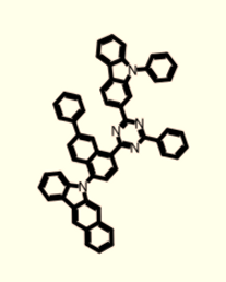 c1ccc(-c2ccc3c(-n4c5ccccc5c5cc6ccccc6cc54)ccc(-c4nc(-c5ccccc5)nc(-c5ccc6c7ccccc7n(-c7ccccc7)c6c5)n4)c3c2)cc1